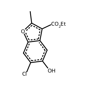 CCOC(=O)c1c(C)oc2cc(Cl)c(O)cc12